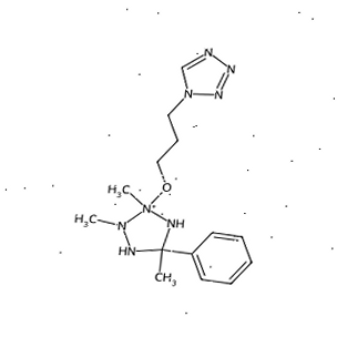 CN1NC(C)(c2ccccc2)N[N+]1(C)OCCCn1cnnn1